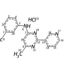 CC(=O)c1cccc(Nc2cc(C)nc(-c3cccnc3)n2)c1.Cl